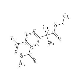 CCOC(=O)C(C)(C)c1cc(C(=O)OC)c([N+](=O)[O-])cn1